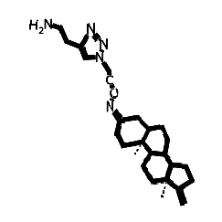 C=C1CCC2C3CCC4CC(=NOCCn5cc(CCN)nn5)CC[C@]4(C)C3CC[C@]12C